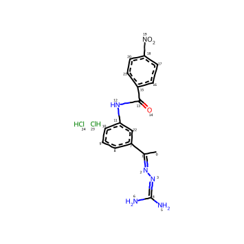 C/C(=N\N=C(N)N)c1cccc(NC(=O)c2ccc([N+](=O)[O-])cc2)c1.Cl.Cl